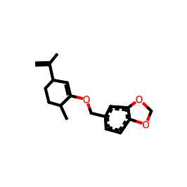 C=C(C)C1C=C(OCc2ccc3c(c2)OCO3)C(C)CC1